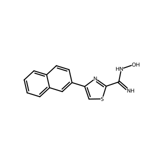 N=C(NO)c1nc(-c2ccc3ccccc3c2)cs1